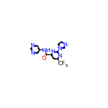 O=C(Nc1cncnc1)c1cc(C(F)(F)F)nc(-n2ccnc2)n1